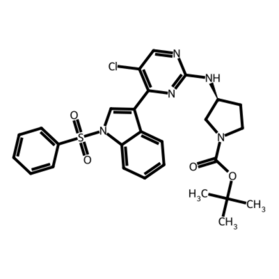 CC(C)(C)OC(=O)N1CC[C@H](Nc2ncc(Cl)c(-c3cn(S(=O)(=O)c4ccccc4)c4ccccc34)n2)C1